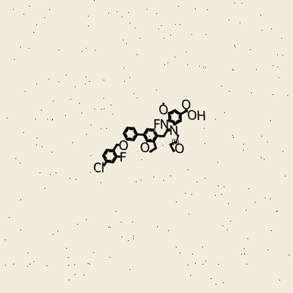 COc1cc(C(=O)O)cc2c1nc(Cc1c(F)cc(-c3cccc(OCc4ccc(Cl)cc4F)c3)c3c1CCO3)n2C[C@@H]1CCO1